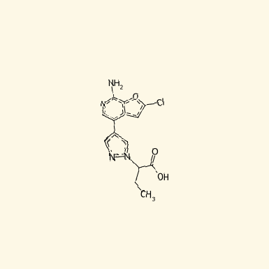 CCC(C(=O)O)n1cc(-c2cnc(N)c3oc(Cl)cc23)cn1